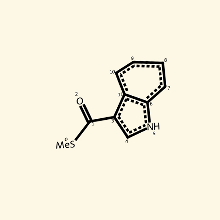 CSC(=O)c1c[nH]c2ccccc12